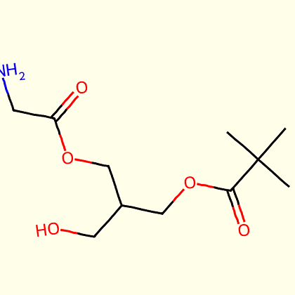 CC(C)(C)C(=O)OCC(CO)COC(=O)CN